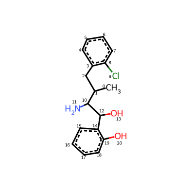 CC(Cc1ccccc1Cl)C(N)C(O)c1ccccc1O